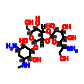 CN[C@H]1C[C@@H](N)[C@H](O)[C@@H](O[C@@H]2O[C@H](CO)[C@H](O)[C@@H]3O[C@]4(O[C@H]23)O[C@H]([C@@H](N)CO)[C@H](O)[C@H](O)[C@H]4O)[C@@H]1O